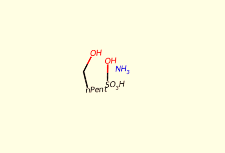 CCCCCCO.N.O=S(=O)(O)O